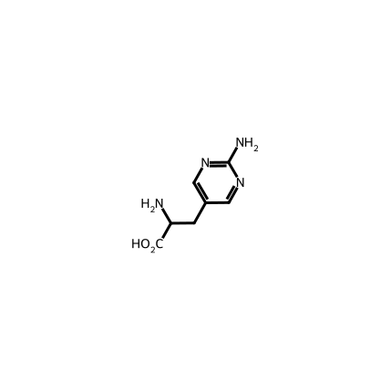 Nc1ncc(CC(N)C(=O)O)cn1